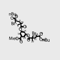 CCCCOC(=O)C(Br)CC(C)(C)C(=O)Oc1cc(OC(=O)C(C)(C)CC(Br)C(=O)OCCCC)cc(C(=O)OC)c1